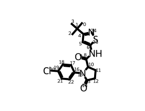 CC(C)(C)c1cc(NC(=O)C2CCC(=O)N2c2ccc(Cl)cc2)sn1